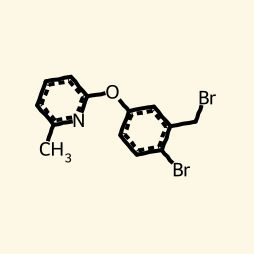 Cc1cccc(Oc2ccc(Br)c(CBr)c2)n1